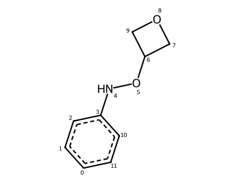 c1ccc(NOC2COC2)cc1